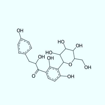 O=C(c1ccc(O)c(C2OC(CO)C(O)C(O)C2O)c1O)C(O)Cc1ccc(O)cc1